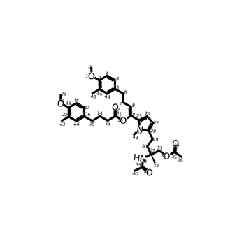 COc1ccc(CCC=C(OC(=O)CCCc2ccc(OC)c(C)c2)c2ccc(CC[C@](C)(COC(C)=O)NC(C)=O)n2C)cc1C